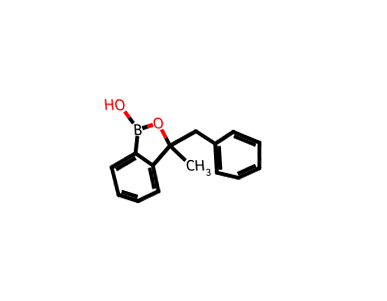 CC1(Cc2ccccc2)OB(O)c2ccccc21